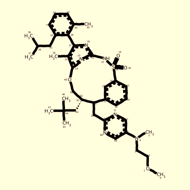 COCCN(C)c1cnc(CC2c3cccc(c3)S(=O)(=O)Nc3nc(c(C)c(-c4c(C)cccc4CC(C)C)n3)OC[C@H]2CC(C)(C)C)nc1